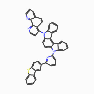 c1cc(-c2ccc3sc4ccccc4c3c2)nc(-n2c3ccccc3c3c4c5ccccc5n(-c5ccnc6c5ccc5cccnc56)c4ccc32)c1